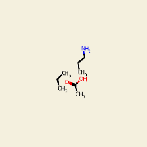 CC(=O)O.CCC.CCCN